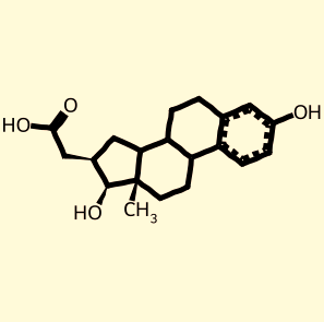 C[C@]12CCC3c4ccc(O)cc4CCC3C1C[C@H](CC(=O)O)[C@@H]2O